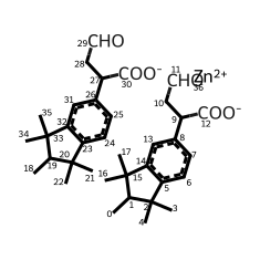 CC1C(C)(C)c2ccc(C(CC=O)C(=O)[O-])cc2C1(C)C.CC1C(C)(C)c2ccc(C(CC=O)C(=O)[O-])cc2C1(C)C.[Zn+2]